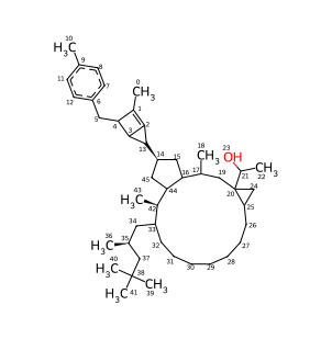 CC1=C2C(C1Cc1ccc(C)cc1)C2[C@H]1CC2C(C)CC3(C(C)O)CC3CCCCCCCC(C[C@H](C)CC(C)(C)C)[C@@H](C)C2C1